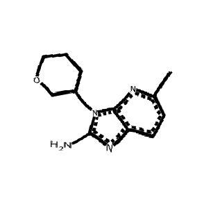 Cc1ccc2nc(N)n(C3CCCOC3)c2n1